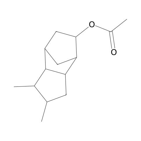 CC(=O)OC1CC2CC1C1CC(C)C(C)C21